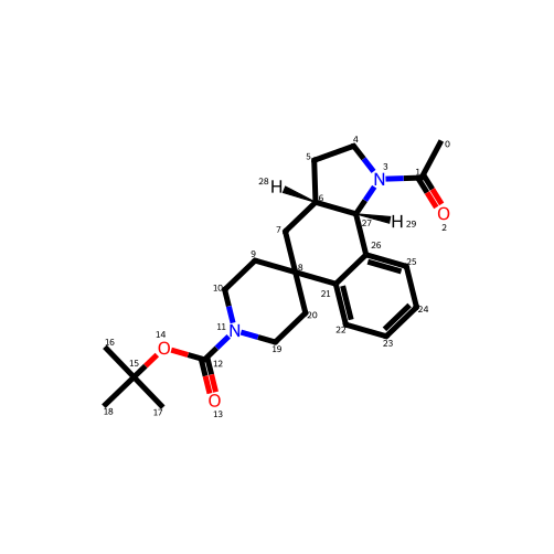 CC(=O)N1CC[C@H]2CC3(CCN(C(=O)OC(C)(C)C)CC3)c3ccccc3[C@H]21